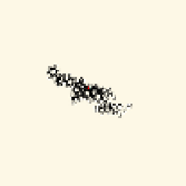 CC(C)(CC(=O)O[C@H]1CC[C@]2(C)[C@H]3CC[C@@H]4[C@H]5[C@H](C6(C)CC6)CC[C@]5(C(=O)N5CCC(c6ncc(-c7ccccc7)[nH]6)CC5)CC[C@@]4(C)[C@]3(C)CC[C@H]2C1(C)C)C(=O)O